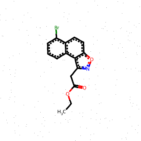 CCOC(=O)Cc1noc2ccc3c(Br)cccc3c12